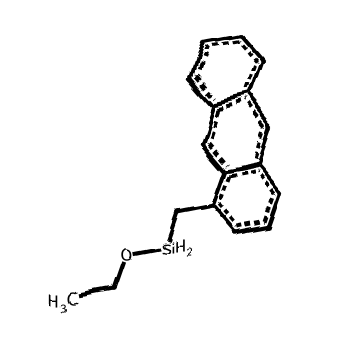 CCO[SiH2]Cc1cccc2cc3ccccc3cc12